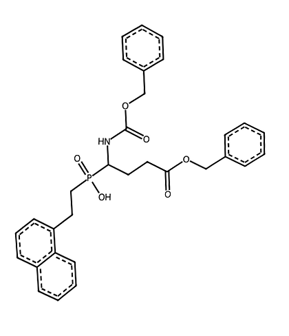 O=C(CCC(NC(=O)OCc1ccccc1)P(=O)(O)CCc1cccc2ccccc12)OCc1ccccc1